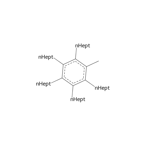 CCCCCCCc1c(C)c(CCCCCCC)c(CCCCCCC)c(CCCCCCC)c1CCCCCCC